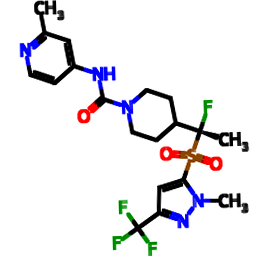 Cc1cc(NC(=O)N2CCC([C@](C)(F)S(=O)(=O)c3cc(C(F)(F)F)nn3C)CC2)ccn1